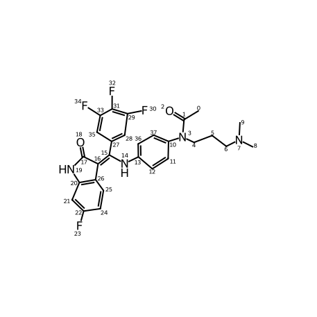 CC(=O)N(CCCN(C)C)c1ccc(NC(=C2C(=O)Nc3cc(F)ccc32)c2cc(F)c(F)c(F)c2)cc1